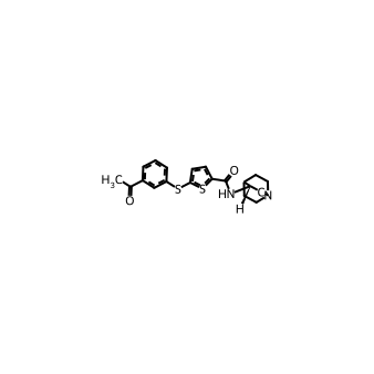 CC(=O)c1cccc(Sc2ccc(C(=O)N[C@H]3CN4CCC3CC4)s2)c1